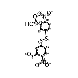 O=Cc1cc(SSc2ccc([N+](=O)[O-])c(C(=O)O)c2)ccc1[N+](=O)[O-]